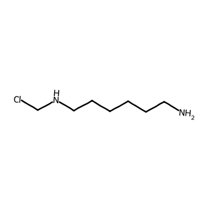 NCCCCCCNCCl